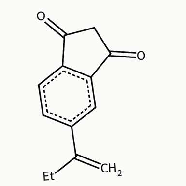 C=C(CC)c1ccc2c(c1)C(=O)CC2=O